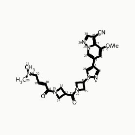 COc1cc(-c2cnn(C3CN(C(=O)C4CN(C(=O)/C=C/CN(C)C)C4)C3)c2)cn2ncc(C#N)c12